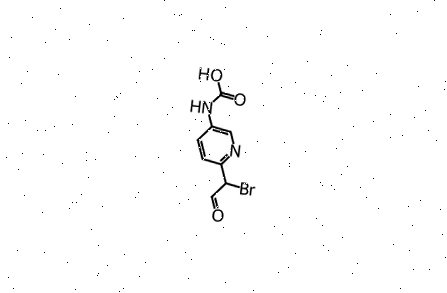 O=CC(Br)c1ccc(NC(=O)O)cn1